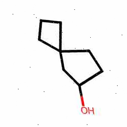 OC1CCC2(CCC2)C1